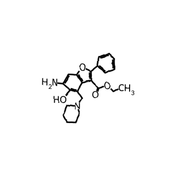 CCOC(=O)c1c(-c2ccccc2)oc2cc(N)c(O)c(CN3CCCCC3)c12